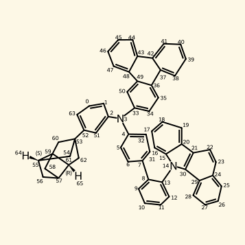 c1cc(N(c2ccc(-c3ccccc3-n3c4ccccc4c4ccc5ccccc5c43)cc2)c2ccc3c4ccccc4c4ccccc4c3c2)cc(C23C[C@@H]4CC5CC4(C2)[C@@H]5C3)c1